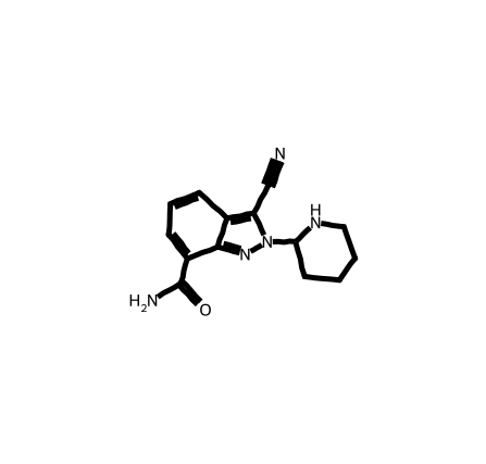 N#Cc1c2cccc(C(N)=O)c2nn1C1CCCCN1